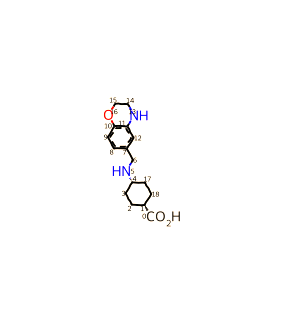 O=C(O)[C@H]1CC[C@H](NCc2ccc3c(c2)NCCO3)CC1